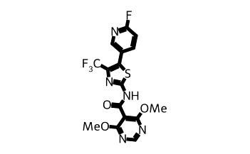 COc1ncnc(OC)c1C(=O)Nc1nc(C(F)(F)F)c(-c2ccc(F)nc2)s1